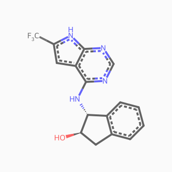 O[C@@H]1Cc2ccccc2[C@H]1Nc1ncnc2[nH]c(C(F)(F)F)cc12